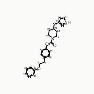 O=C(Oc1ccc(CCOc2cccnc2)cc1)N1CCC(Sc2nc[nH]n2)CC1